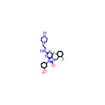 COc1cccc(-n2c(=O)n(Cc3c(F)cccc3F)c3cnc(NCCN4CCNCC4)nc32)c1